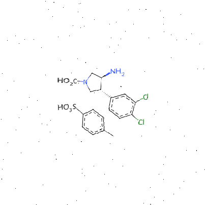 Cc1ccc(S(=O)(=O)O)cc1.N[C@@H]1CN(C(=O)O)C[C@H]1c1ccc(Cl)c(Cl)c1